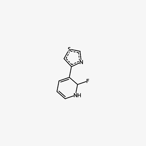 FC1NC=CC=C1c1cscn1